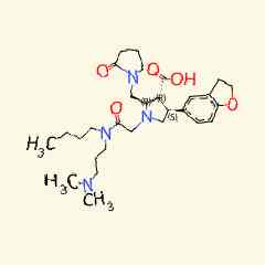 CCCCN(CCCN(C)C)C(=O)CN1C[C@H](c2ccc3c(c2)CCO3)[C@@H](C(=O)O)[C@@H]1CN1CCCC1=O